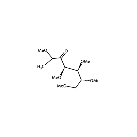 COC[C@@H](OC)[C@H](OC)[C@@H](OC)C(=O)C(C)OC